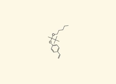 C=Cc1ccc(OC(C)(OCCCCC)C(C)(C)C)cc1